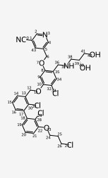 N#Cc1cncc(COc2cc(OCc3cccc(-c4cccc(OCCCCl)c4Cl)c3Cl)c(Cl)cc2CNC[C@@H](O)CO)c1